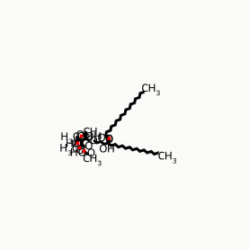 CCCCCCCCCCCCCCCCCC(=O)OC(COC1O[C@H](C(O)C(C)=O)[C@](O)(C(C)=O)[C@@](O)(C(C)=O)[C@]1(O)C(C)=O)C(O)C(=O)CCCCCCCCCCCCCCC